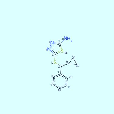 Nc1nnc(SC(c2ccccc2)C2CC2)s1